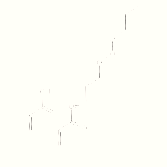 C=CC(=O)O.C=CC(=O)O.CCCOOOCCC